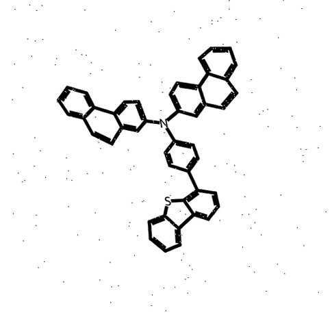 c1ccc2c(c1)ccc1cc(N(c3ccc(-c4cccc5c4sc4ccccc45)cc3)c3ccc4c(ccc5ccccc54)c3)ccc12